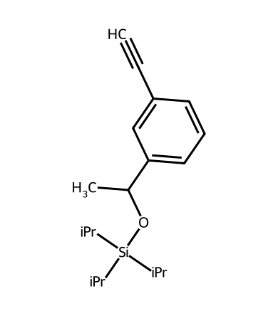 C#Cc1cccc(C(C)O[Si](C(C)C)(C(C)C)C(C)C)c1